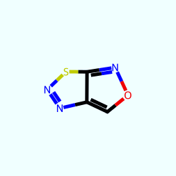 c1onc2snnc12